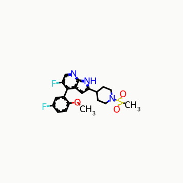 COc1ccc(F)cc1-c1c(F)cnc2[nH]c(C3CCN(S(C)(=O)=O)CC3)cc12